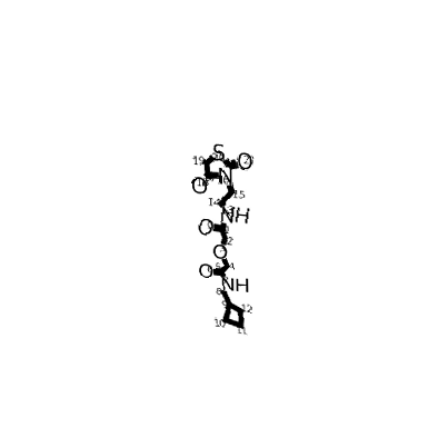 O=C(COCC(=O)NCC1CCC1)NCCN1C(=O)CSC1=O